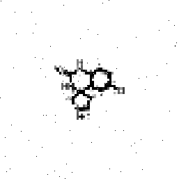 Cl.O=C1Nc2ccc(Cl)cc2C2(CCNC2)N1